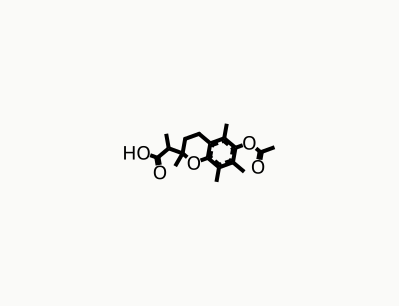 CC(=O)Oc1c(C)c(C)c2c(c1C)CCC(C)(C(C)C(=O)O)O2